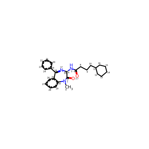 CN1C(=O)[C@H](NC(=O)CCCC2CCCCC2)N=C(c2ccccc2)c2ccccc21